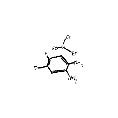 CCN(CC)CC.Nc1cc(F)c(F)cc1N